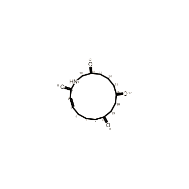 O=C1CCCC=CC(=O)NCC(=O)CCCC(=O)CC1